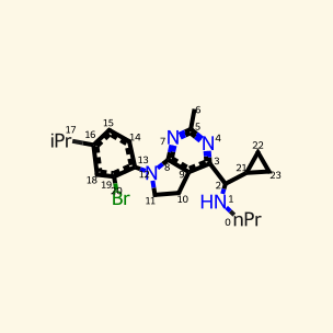 CCCNC(c1nc(C)nc2c1CCN2c1ccc(C(C)C)cc1Br)C1CC1